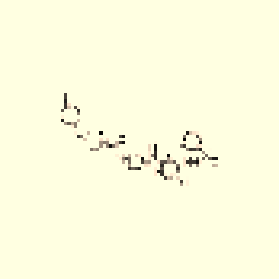 CP(C)(=O)c1ccccc1Nc1nc(N[C@@H]2CCN(CC(=O)N3CCC(CN4CCNCC4)CC3)C2)ncc1Cl